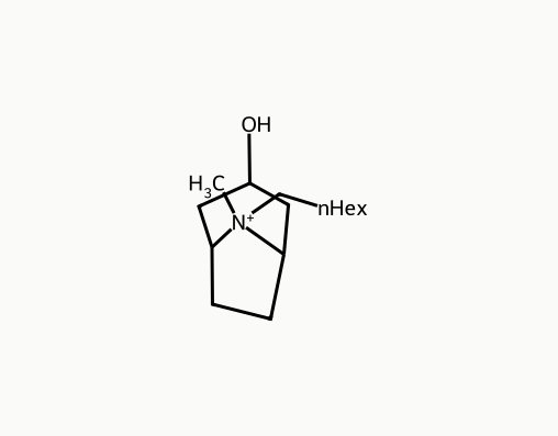 CCCCCCC[N+]1(C)C2CCC1CC(O)C2